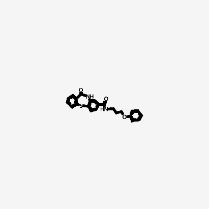 O=C(NCCCOc1ccccc1)c1ccc2c(c1)NC(=O)c1ccccc1S2